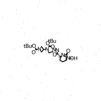 CC(C)(C)OC(=O)N1CC(N(Cc2nnc([C@@H]3CCC4CN3C(=O)N4O)o2)C(=O)OC(C)(C)C)C1